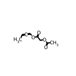 CC=C=COC(=O)COC(C)=O